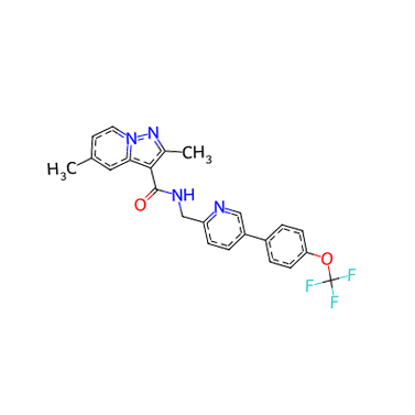 Cc1ccn2nc(C)c(C(=O)NCc3ccc(-c4ccc(OC(F)(F)F)cc4)cn3)c2c1